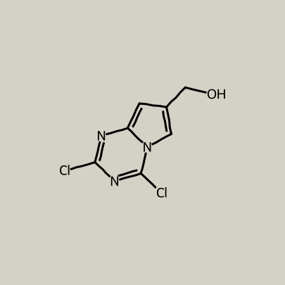 OCc1cc2nc(Cl)nc(Cl)n2c1